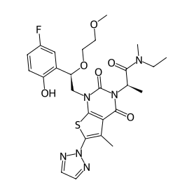 CCN(C)C(=O)[C@@H](C)n1c(=O)c2c(C)c(-n3nccn3)sc2n(C[C@H](OCCOC)c2cc(F)ccc2O)c1=O